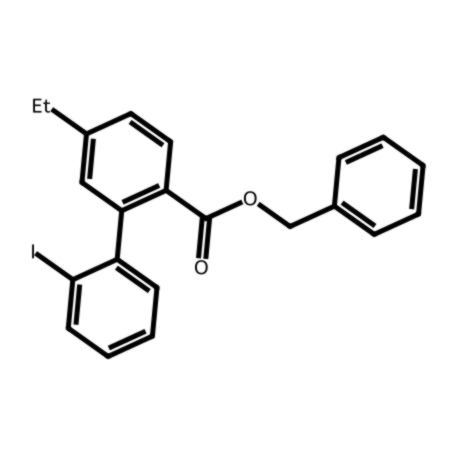 CCc1ccc(C(=O)OCc2ccccc2)c(-c2ccccc2I)c1